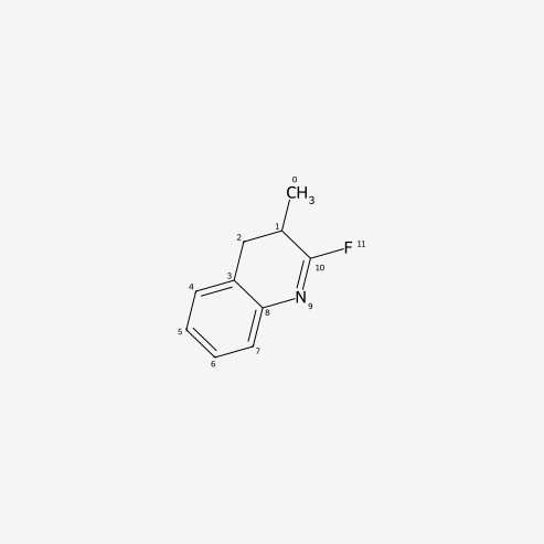 CC1Cc2ccccc2N=C1F